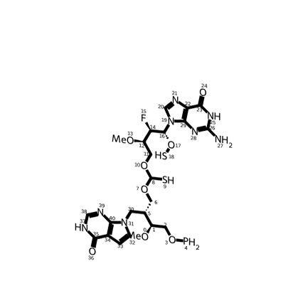 CO[C@H](COP)[C@@H](COC(S)OC[C@@H](OC)[C@@H](F)[C@@H](OS)n1cnc2c(=O)[nH]c(N)nc21)Cn1ccc2c(=O)[nH]cnc21